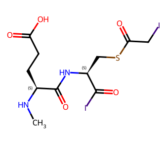 CN[C@@H](CCC(=O)O)C(=O)N[C@@H](CSC(=O)CI)C(=O)I